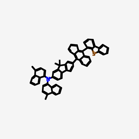 Cc1ccc(N(c2ccc3c(c2)C(C)(C)c2cc(-c4c5ccccc5c(-c5cccc6c5sc5ccccc56)c5ccccc45)ccc2-3)c2ccc(C)c3ccccc23)c2ccccc12